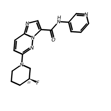 O=C(Nc1cccnc1)c1cnc2ccc(N3CCC[C@H](F)C3)nn12